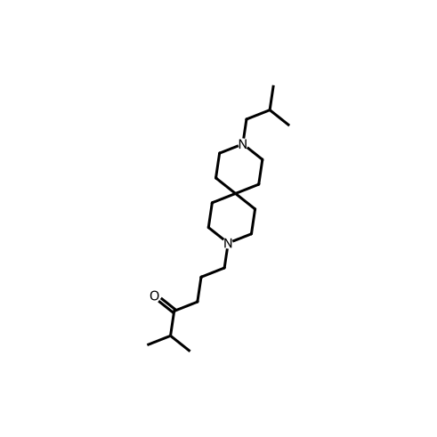 CC(C)CN1CCC2(CCN(CCCC(=O)C(C)C)CC2)CC1